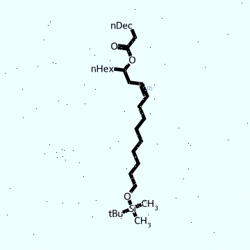 CCCCCCCCCCCC(=O)OC(C/C=C\CCCCCCCCO[Si](C)(C)C(C)(C)C)CCCCCC